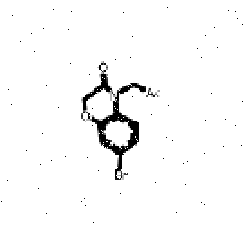 CC(=O)CN1C(=O)COc2cc(Br)ccc21